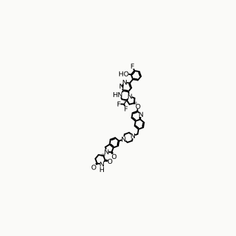 O=C1CC[C@H](N2Cc3ccc(N4CCN(Cc5ccc6nc(O[C@H]7CN8c9cc(-c%10cccc(F)c%10O)nnc9NC[C@@]8(C(F)F)C7)ccc6c5)CC4)cc3C2=O)C(=O)N1